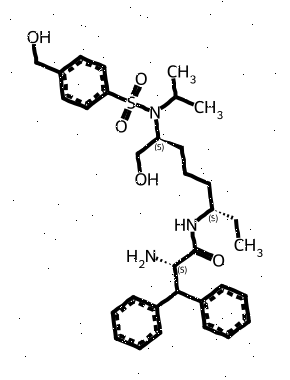 CC[C@@H](CCC[C@@H](CO)N(C(C)C)S(=O)(=O)c1ccc(CO)cc1)NC(=O)[C@@H](N)C(c1ccccc1)c1ccccc1